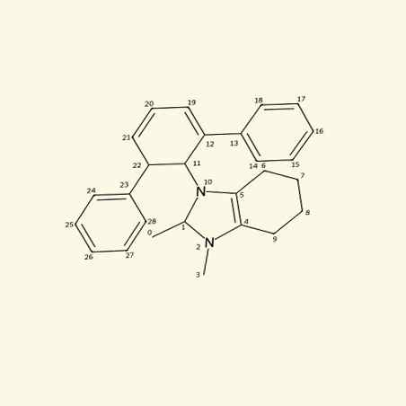 CC1N(C)C2=C(CCCC2)N1C1C(c2ccccc2)=CC=CC1c1ccccc1